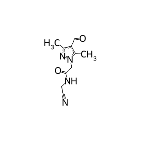 Cc1nn(CC(=O)NCC#N)c(C)c1C=O